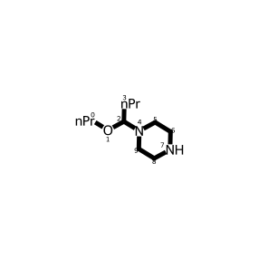 CCCOC(CCC)N1CCNCC1